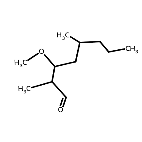 CCCC(C)CC(OC)C(C)C=O